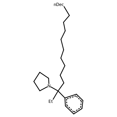 CCCCCCCCCCCCCCCCCCCC(CC)(c1ccccc1)N1CCCC1